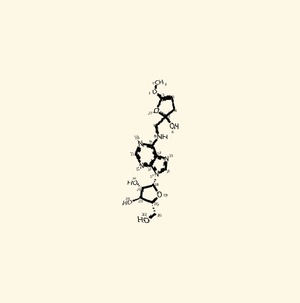 COC1=CCC(O)(CNc2ncnc3c2ncn3[C@@H]2O[C@H](CO)[C@@H](O)[C@@H]2O)O1